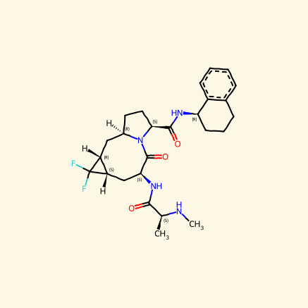 CN[C@@H](C)C(=O)N[C@H]1C[C@H]2[C@@H](C[C@H]3CC[C@@H](C(=O)N[C@@H]4CCCc5ccccc54)N3C1=O)C2(F)F